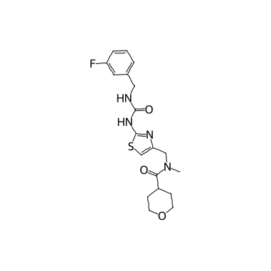 CN(Cc1csc(NC(=O)NCc2cccc(F)c2)n1)C(=O)C1CCOCC1